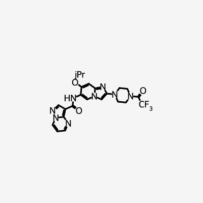 CC(C)Oc1cc2nc(N3CCN(C(=O)C(F)(F)F)CC3)cn2cc1NC(=O)c1cnn2cccnc12